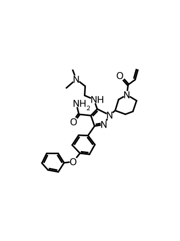 C=CC(=O)N1CCCC(n2nc(-c3ccc(Oc4ccccc4)cc3)c(C(N)=O)c2NCCN(C)C)C1